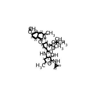 CCCC(NC(=O)C1CC(Oc2nc(C)cc3cc(OC)ccc23)CN1C(=O)OC(C)(C)C)C(O)C(=O)NC1CC1